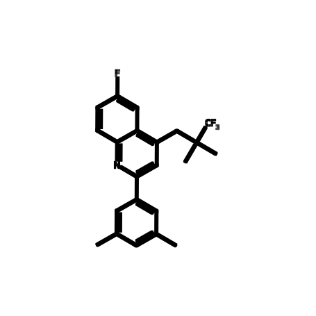 Cc1cc(C)cc(-c2cc(CC(C)(C)C(F)(F)F)c3cc(F)ccc3n2)c1